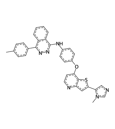 Cc1ccc(-c2nnc(Nc3ccc(Oc4ccnc5cc(-c6cncn6C)sc45)cc3)c3ccccc23)cc1